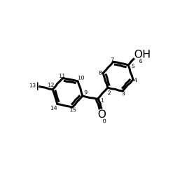 O=C(c1ccc(O)cc1)c1ccc(I)cc1